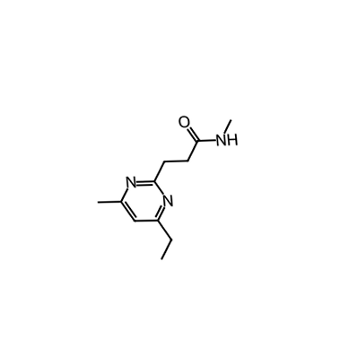 CCc1cc(C)nc(CCC(=O)NC)n1